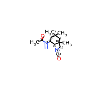 CC(=O)NC1CC(C)(C)CC(C)(CN=C=O)C1